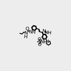 CCCNC(=O)Nc1cccc(/C=C/c2n[nH]c3cc(N4CCCC4)c(NS(C)(=O)=O)cc23)c1